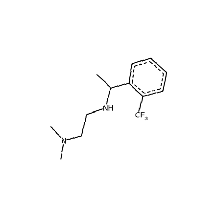 CC(NCCN(C)C)c1ccccc1C(F)(F)F